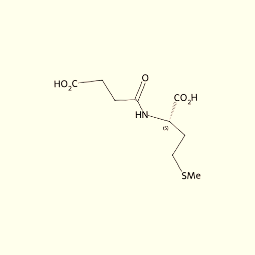 CSCC[C@H](NC(=O)CCC(=O)O)C(=O)O